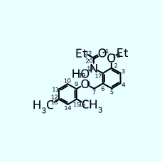 CCOc1cccc(COc2ccc(C)cc2C)c1N(O)C(=O)CC